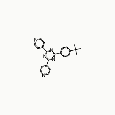 CC(C)(C)c1ccc(-c2nc(-c3ccncc3)nc(-c3ccncc3)n2)cc1